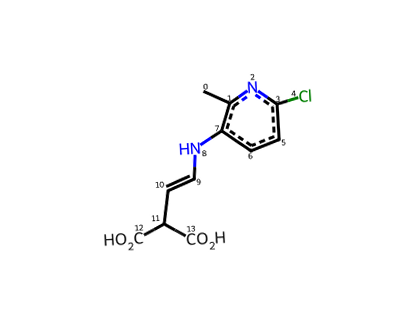 Cc1nc(Cl)ccc1N/C=C/C(C(=O)O)C(=O)O